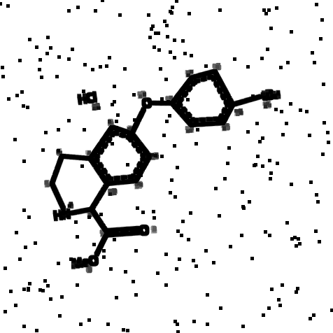 COC(=O)C1NCCc2cc(Oc3ccc(C(C)(C)C)cc3)ccc21.Cl